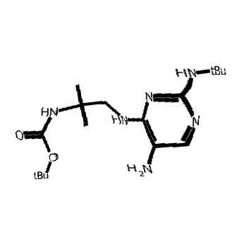 CC(C)(C)Nc1ncc(N)c(NCC(C)(C)NC(=O)OC(C)(C)C)n1